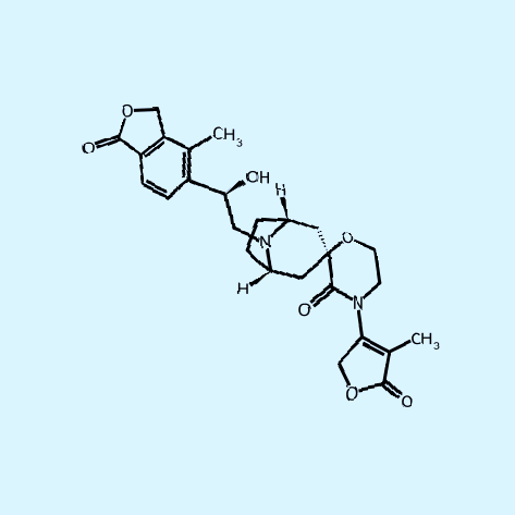 CC1=C(N2CCO[C@@]3(C[C@H]4CC[C@@H](C3)N4C[C@H](O)c3ccc4c(c3C)COC4=O)C2=O)COC1=O